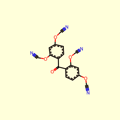 N#COc1ccc(C(=O)c2ccc(OC#N)cc2OC#N)c(OC#N)c1